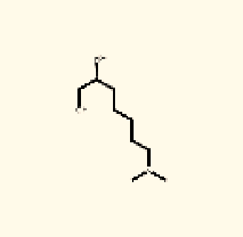 CCC[C@H](CO)CCCCCN(C)C